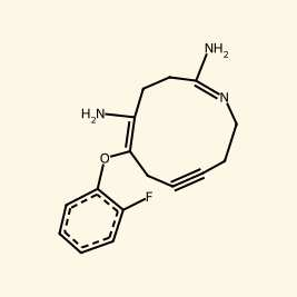 N/C1=C(\Oc2ccccc2F)CC#CCC/N=C(/N)CC1